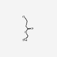 O=C(CCCl)OCO